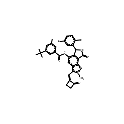 Cn1nc2c3c(c(NC(=O)c4cc(F)cc(C(F)(F)F)c4)cc2c1/C=C1/CCC1=O)C(c1cc(F)ccc1Cl)NC3=O